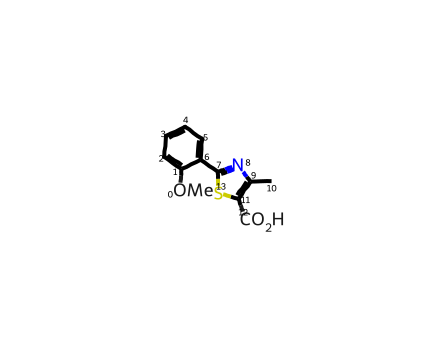 COc1ccccc1-c1nc(C)c(C(=O)O)s1